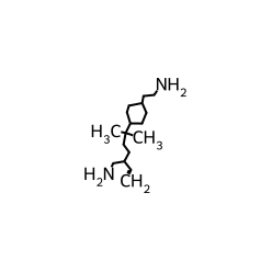 C=CC(CN)CCC(C)(C)C1CCC(CCN)CC1